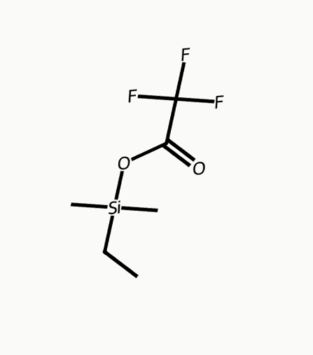 CC[Si](C)(C)OC(=O)C(F)(F)F